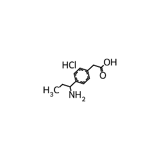 CCC(N)c1ccc(CC(=O)O)cc1.Cl